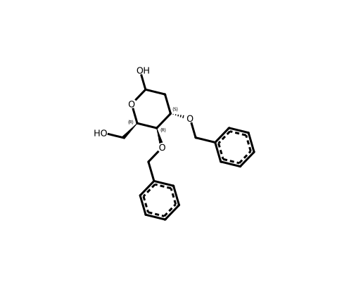 OC[C@H]1OC(O)C[C@H](OCc2ccccc2)[C@H]1OCc1ccccc1